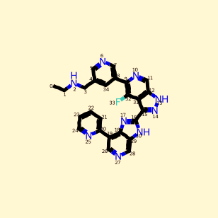 CCNCc1cncc(-c2ncc3[nH]nc(-c4nc5c(-c6ccccn6)cncc5[nH]4)c3c2F)c1